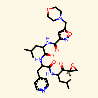 CC(C)CC(NC(=O)c1cc(CN2CCOCC2)on1)C(=O)NC(Cc1ccncc1)C(=O)NC(CC(C)C)C(=O)[C@@]1(C)CO1